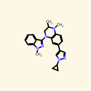 CC1CN(c2nn(C)c3ccccc23)c2cc(-c3cnn(C4CC4)c3)ccc2N1C